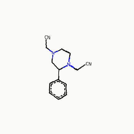 N#CCN1CCN(CC#N)C(c2ccccc2)C1